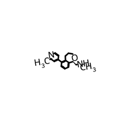 CNC[C@@H]1OCCCc2c(-c3ccnc(C)c3)cccc21